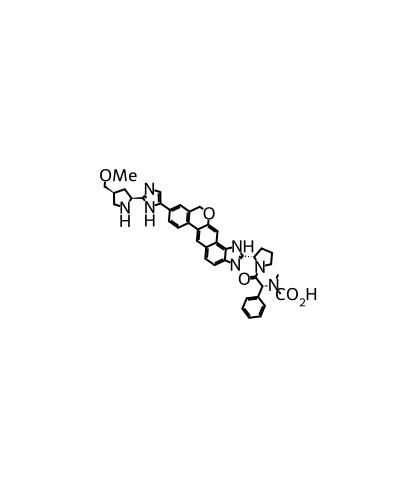 COC[C@@H]1CN[C@H](c2ncc(-c3ccc4c(c3)COc3cc5c(ccc6nc([C@@H]7CCCN7C(=O)[C@@H](c7ccccc7)N(C)C(=O)O)[nH]c65)cc3-4)[nH]2)C1